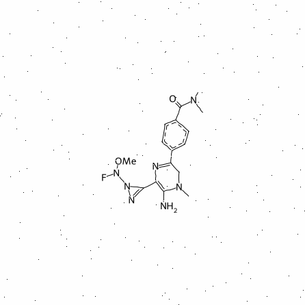 CON(F)N1N=C1C1=C(N)N(C)CC(c2ccc(C(=O)N(C)C)cc2)=N1